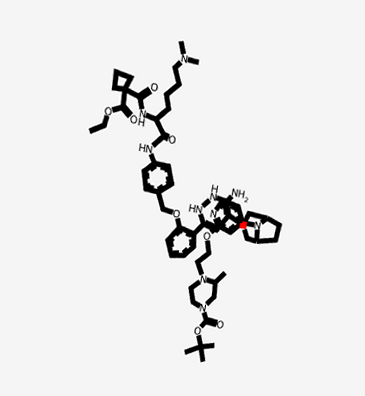 CCOC(=O)C1(C(=O)NC(CCCCN(C)C)C(=O)Nc2ccc(COc3ccccc3C3=CC(N4CC5CCC(C4)N5c4ccnc(OCCN5CCN(C(=O)OC(C)(C)C)CC5C)c4)=C(N)NN3)cc2)CCC1